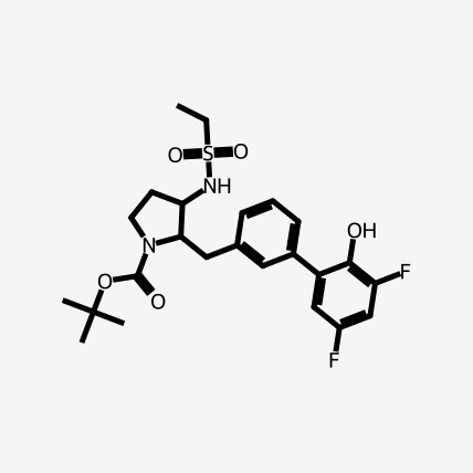 CCS(=O)(=O)NC1CCN(C(=O)OC(C)(C)C)C1Cc1cccc(-c2cc(F)cc(F)c2O)c1